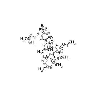 CCOC(=O)C[C@H](NC(=O)C(CC(C)C)n1cc(CCCN(C)C)c(C(F)(F)F)cc1=O)c1c(F)c(C)cc(-c2c(C)cc(C)c(F)c2C)c1F